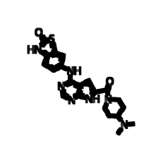 CN(C)C1CCN(C(=O)c2cc3c(Nc4ccc5[nH]c(=O)sc5c4)ncnc3[nH]2)CC1